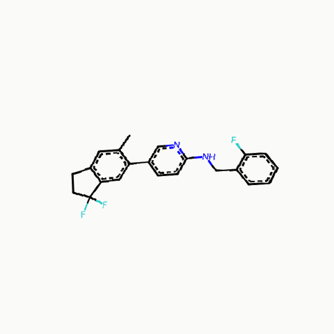 Cc1cc2c(cc1-c1ccc(NCc3ccccc3F)nc1)C(F)(F)CC2